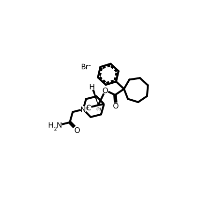 NC(=O)C[N+]12CCC(CC1)[C@@H](OC(=O)C1(c3ccccc3)CCCCCC1)C2.[Br-]